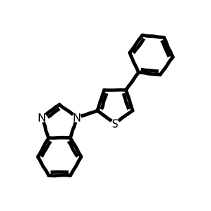 c1ccc(-c2csc(-n3cnc4ccccc43)c2)cc1